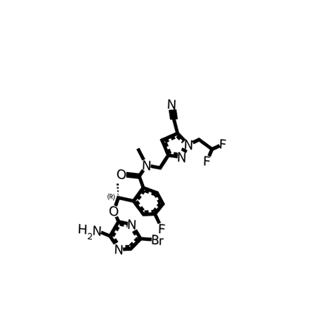 C[C@@H](Oc1nc(Br)cnc1N)c1cc(F)ccc1C(=O)N(C)Cc1cc(C#N)n(CC(F)F)n1